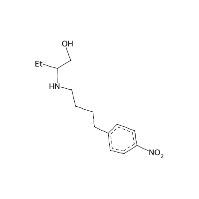 CCC(CO)NCCCCc1ccc([N+](=O)[O-])cc1